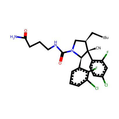 CC(C)(C)C[C@@H]1CN(C(=O)NCCCC(N)=O)[C@H](c2cccc(Cl)c2F)[C@@]1(C#N)c1ccc(Cl)cc1F